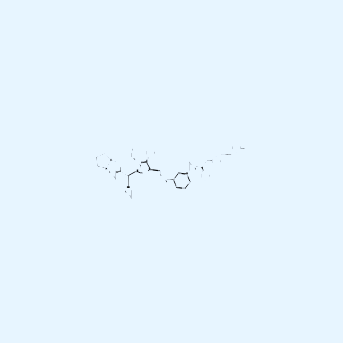 CCn1c(=C(C#N)C2=N[C@H]3CCC[C@H]3O2)sc(=CNc2cccc(NC(=O)COCCOC)c2)c1=O